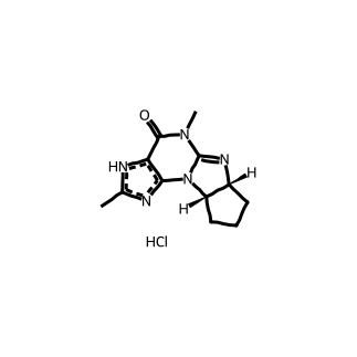 Cc1nc2c([nH]1)C(=O)N(C)C1=N[C@@H]3CCC[C@@H]3N12.Cl